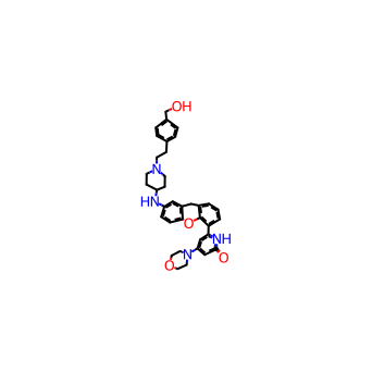 O=c1cc(N2CCOCC2)cc(-c2cccc3c2Oc2ccc(NC4CCN(CCc5ccc(CO)cc5)CC4)cc2C3)[nH]1